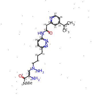 CNC(=O)/C(N)=C/N(N)CCCCc1ccc(NC(=O)Cc2cc(C(C)C(F)(F)F)ccn2)nn1